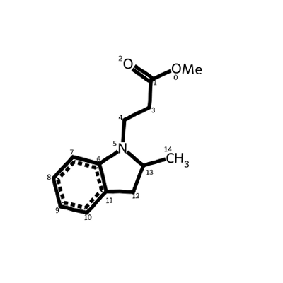 COC(=O)CCN1c2ccccc2CC1C